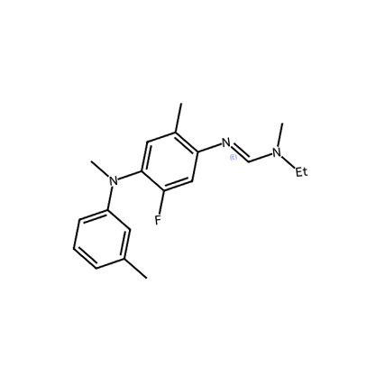 CCN(C)/C=N/c1cc(F)c(N(C)c2cccc(C)c2)cc1C